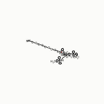 Cc1ccc(C(NCCCC[C@H](NC(=O)[C@H](Cc2ccccc2)NC(=O)CCOCCOCCOCCOCCOCCOCCOCCOCCOCCN=[N+]=[N-])C(=O)Nc2ccc(CO[Si](c3ccccc3)(c3ccccc3)C(C)(C)C)cc2C)(c2ccccc2)c2ccccc2)cc1